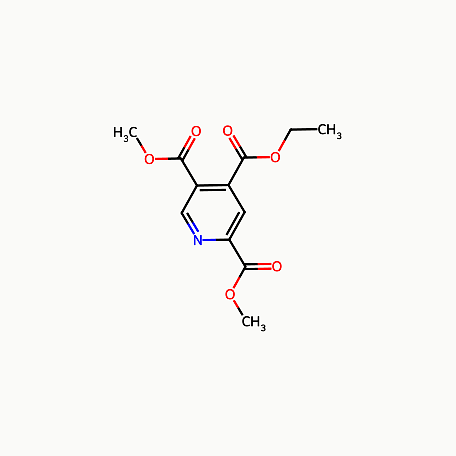 CCOC(=O)c1cc(C(=O)OC)ncc1C(=O)OC